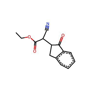 CCOC(=O)C(C#N)C1Cc2ccccc2C1=O